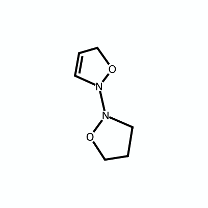 C1=CN(N2CCCO2)OC1